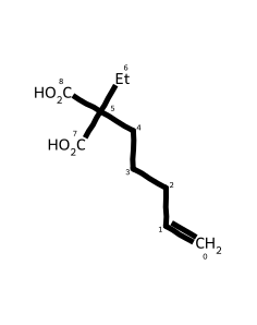 C=CCCCC(CC)(C(=O)O)C(=O)O